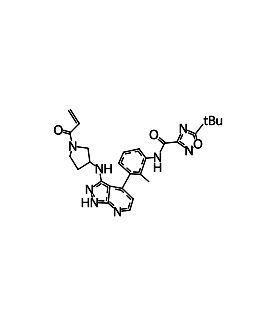 C=CC(=O)N1CCC(Nc2n[nH]c3nccc(-c4cccc(NC(=O)c5noc(C(C)(C)C)n5)c4C)c23)C1